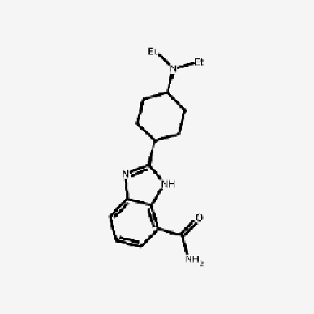 CCN(CC)[C@H]1CC[C@@H](c2nc3cccc(C(N)=O)c3[nH]2)CC1